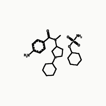 CN(C(=O)c1ccc(N)cc1)C1CCN(C2CCCCC2)C1.NS(=O)(=O)OC1CCCCC1